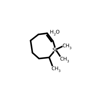 CC1CCCCC=C[Si]1(C)C.O